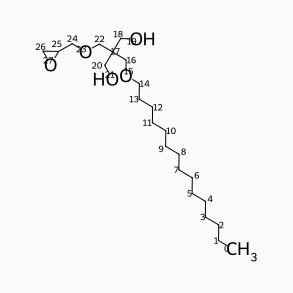 CCCCCCCCCCCCCCCOCC(CO)(CO)COCC1CO1